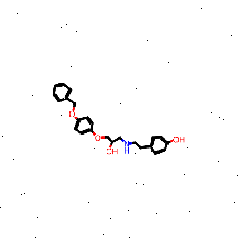 Oc1ccc(CCNCC(O)COc2ccc(OCc3ccccc3)cc2)cc1